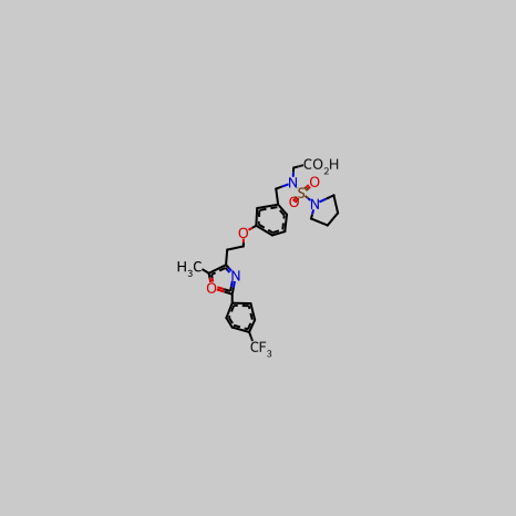 Cc1oc(-c2ccc(C(F)(F)F)cc2)nc1CCOc1cccc(CN(CC(=O)O)S(=O)(=O)N2CCCC2)c1